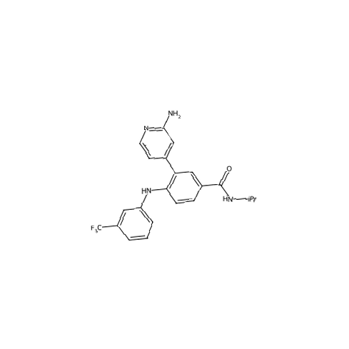 CC(C)NC(=O)c1ccc(Nc2cccc(C(F)(F)F)c2)c(-c2ccnc(N)c2)c1